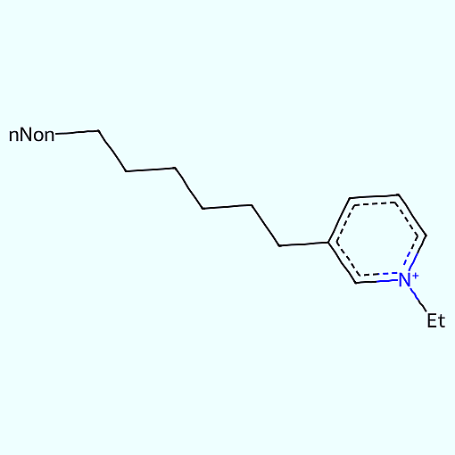 CCCCCCCCCCCCCCCc1ccc[n+](CC)c1